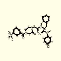 CN(C(=O)[C@H](Cc1ccccc1)NC(=O)CN1CCN(C(=O)c2cccc(S(=O)(=O)F)c2)CC1=O)c1ccc(Cl)cc1